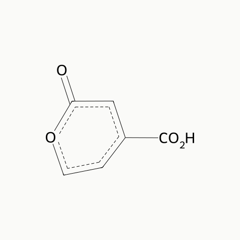 O=C(O)c1ccoc(=O)c1